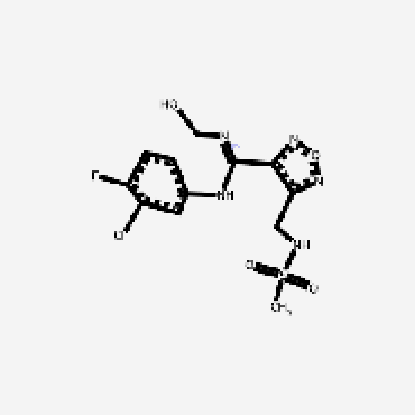 CS(=O)(=O)NCc1nonc1/C(=N/CO)Nc1ccc(F)c(Cl)c1